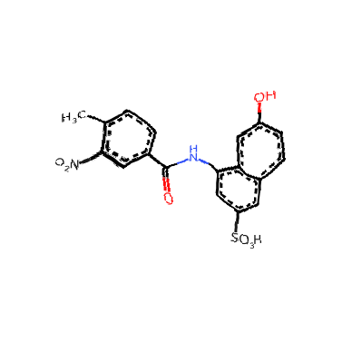 Cc1ccc(C(=O)Nc2cc(S(=O)(=O)O)cc3ccc(O)cc23)cc1[N+](=O)[O-]